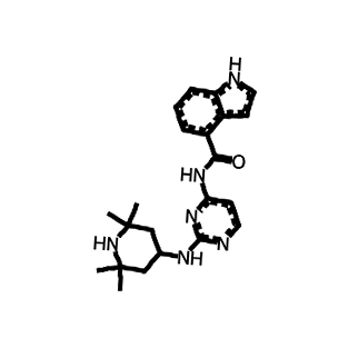 CC1(C)CC(Nc2nccc(NC(=O)c3cccc4[nH]ccc34)n2)CC(C)(C)N1